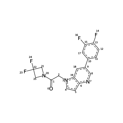 O=C(Cn1ccc2ncc(-c3ccc(F)c(F)c3)cc21)N1CC(F)(F)C1